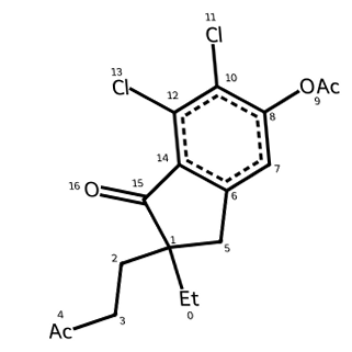 CCC1(CCC(C)=O)Cc2cc(OC(C)=O)c(Cl)c(Cl)c2C1=O